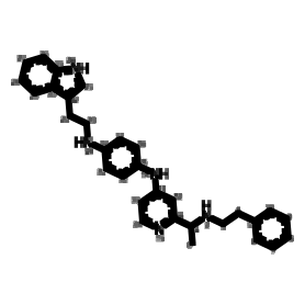 CC(NCCc1ccccc1)c1cc(Nc2ccc(NCCc3c[nH]c4ccccc34)cc2)ccn1